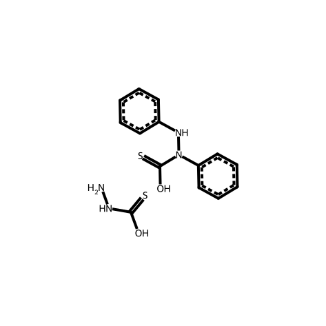 NNC(O)=S.OC(=S)N(Nc1ccccc1)c1ccccc1